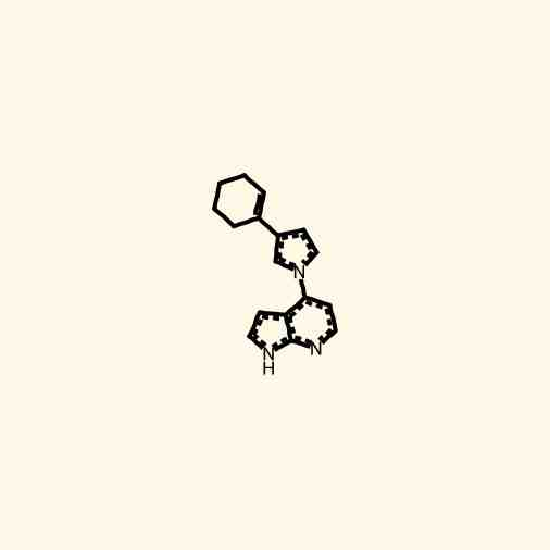 C1=C(c2ccn(-c3ccnc4[nH]ccc34)c2)CCCC1